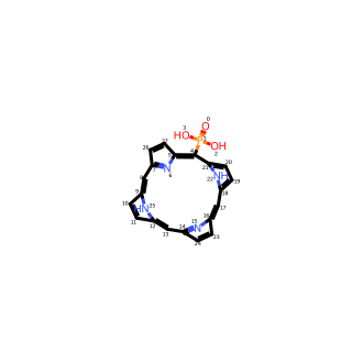 O=P(O)(O)c1c2nc(cc3ccc(cc4nc(cc5ccc1[nH]5)C=C4)[nH]3)C=C2